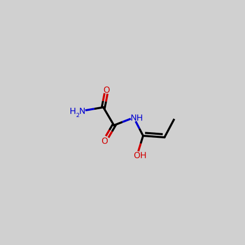 C/C=C(/O)NC(=O)C(N)=O